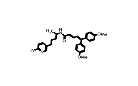 COc1ccc(C(=C/C=C/C(=O)NC(C)CCCc2ccc(C(C)C)nc2)c2ccc(OC)cc2)cc1